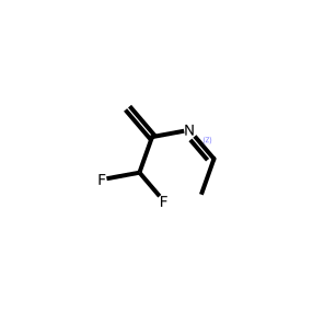 C=C(/N=C\C)C(F)F